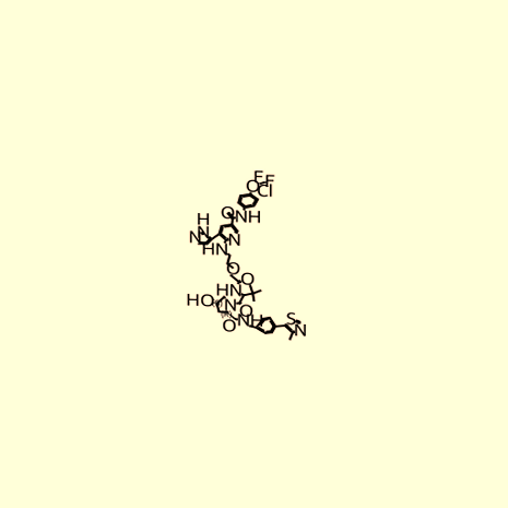 Cc1ncsc1-c1ccc(CNC(=O)[C@H]2C[C@H](O)CN2C(=O)C(NC(=O)COCCNc2ncc(C(=O)Nc3ccc(OC(F)(F)Cl)cc3)cc2-c2ccn[nH]2)C(C)(C)C)cc1